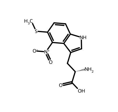 CSc1ccc2[nH]cc(C[C@H](N)C(=O)O)c2c1[N+](=O)[O-]